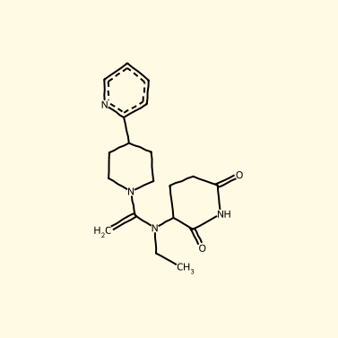 C=C(N1CCC(c2ccccn2)CC1)N(CC)C1CCC(=O)NC1=O